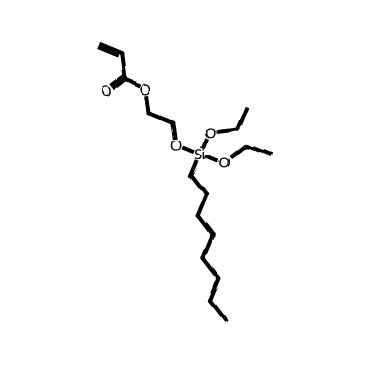 C=CC(=O)OCCO[Si](CCCCCCCC)(OCC)OCC